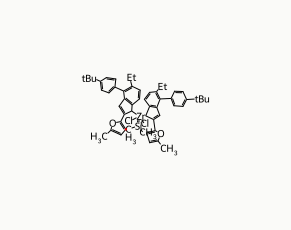 CCc1ccc2c(c1-c1ccc(C(C)(C)C)cc1)C=C(c1ccc(C)o1)[CH]2[Zr]([Cl])([Cl])([CH]1C(c2ccc(C)o2)=Cc2c1ccc(CC)c2-c1ccc(C(C)(C)C)cc1)=[Si](C)C